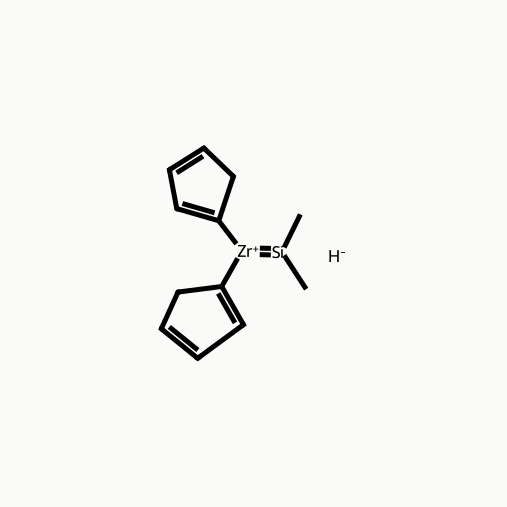 C[Si](C)=[Zr+]([C]1=CC=CC1)[C]1=CC=CC1.[H-]